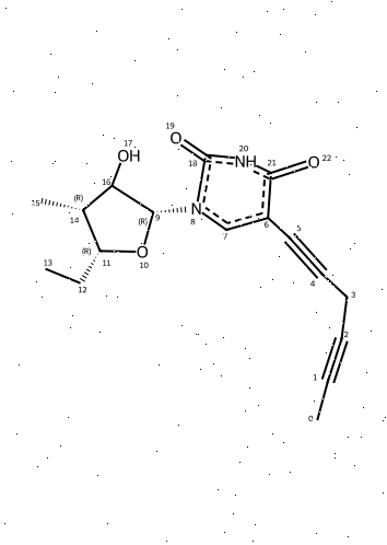 CC#CCC#Cc1cn([C@@H]2O[C@H](CC)[C@H](C)C2O)c(=O)[nH]c1=O